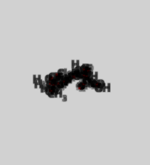 Cc1c(C(=O)NS(C)(=O)=O)c(-c2cccc(N3CCN(c4ccc(NS(=O)(=O)c5ccc(NC(CCN6CCC(C(=O)O)CC6)CSc6ccccc6)c(S(=O)(=O)C(F)(F)F)c5)cc4)CC3)c2)c(-c2ccc(Cl)cc2)n1C(C)C